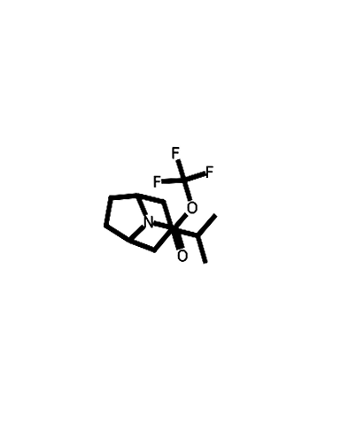 CC(C)C1CC2CCC(C1)N2C(=O)OC(F)(F)F